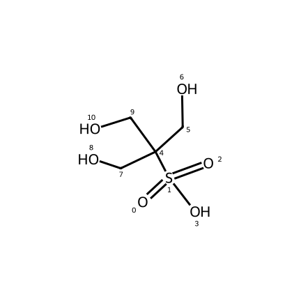 O=S(=O)(O)C(CO)(CO)CO